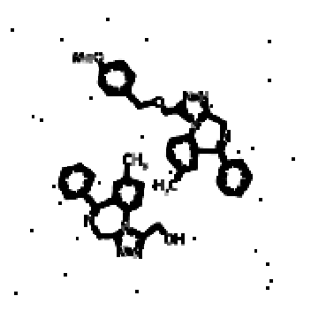 COc1ccc(COCc2nnc3n2-c2ccc(C)cc2C(c2ccccc2)=NC3)cc1.Cc1ccc2c(c1)C(c1ccccc1)=NCc1nnc(CO)n1-2